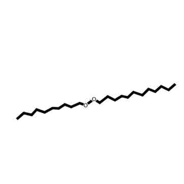 CCCCCCCCCCCCOOCCCCCCCCCC